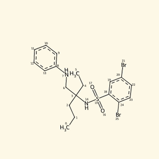 CCCC(CC)(CNc1ccccc1)NS(=O)(=O)c1cc(Br)ccc1Br